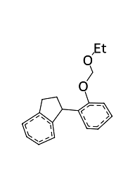 CCOCOc1ccccc1C1CCc2ccccc21